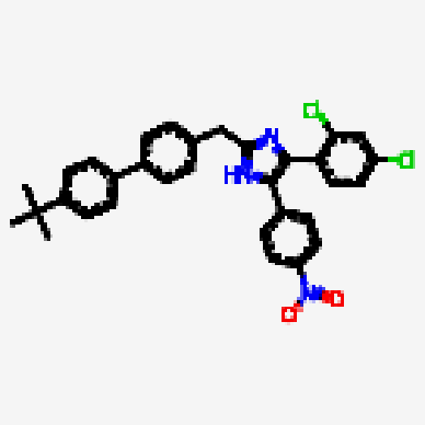 CC(C)(C)c1ccc(-c2ccc(Cc3nc(-c4ccc(Cl)cc4Cl)c(-c4ccc([N+](=O)[O-])cc4)[nH]3)cc2)cc1